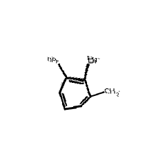 [CH2]c1cccc(CCC)c1Br